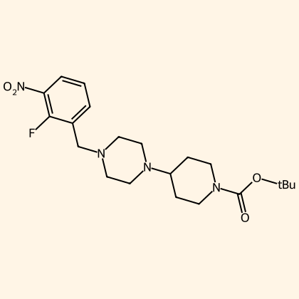 CC(C)(C)OC(=O)N1CCC(N2CCN(Cc3cccc([N+](=O)[O-])c3F)CC2)CC1